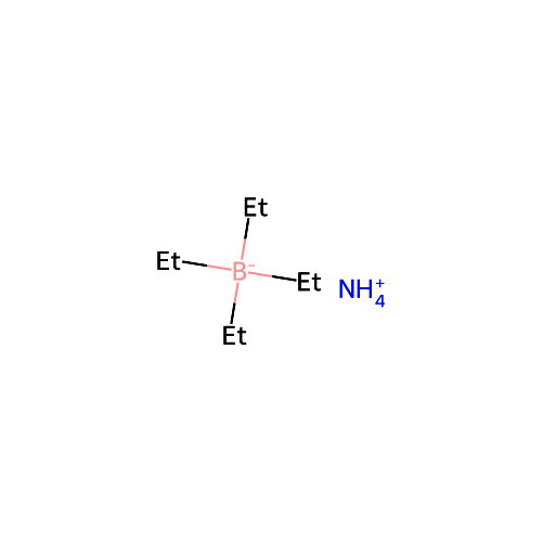 CC[B-](CC)(CC)CC.[NH4+]